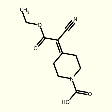 CCOC(=O)C(C#N)=C1CCN(C(=O)O)CC1